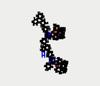 C1=c2c(c3ccccc3c3ccccc23)=CC(c2ccc(-c3nc(-c4cccc(-c5ccc(-c6ccc(-c7nc(-c8ccccc8)nc(-c8cccc9c8Oc8ccccc8C98c9ccccc9-c9ccccc98)n7)cc6)c6[nH]ccc56)c4)nc(-c4cccc5c4Oc4ccccc4C54c5ccccc5-c5ccccc54)n3)cc2)C1